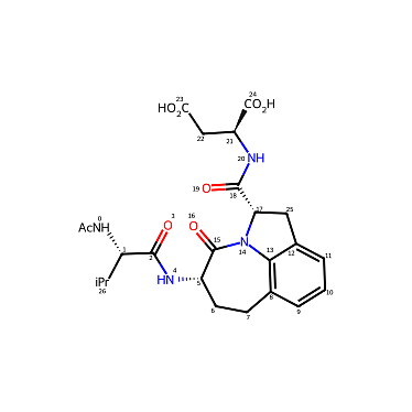 CC(=O)N[C@H](C(=O)N[C@H]1CCc2cccc3c2N(C1=O)[C@H](C(=O)N[C@@H](CC(=O)O)C(=O)O)C3)C(C)C